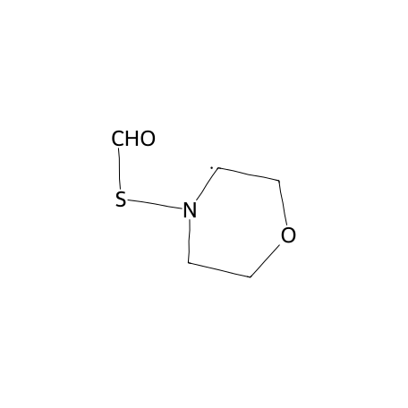 O=CSN1[CH]COCC1